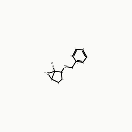 c1ccc(COC2CCC3O[C@H]23)cc1